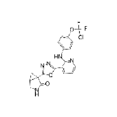 O=C1NCC2CC12c1nnc(-c2cccnc2Nc2ccc(OC(F)(F)Cl)cc2)o1